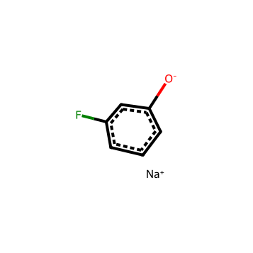 [Na+].[O-]c1cccc(F)c1